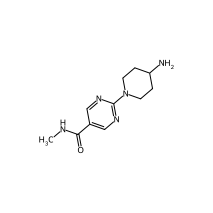 CNC(=O)c1cnc(N2CCC(N)CC2)nc1